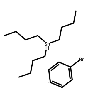 Brc1cc[c]cc1.CCC[CH2][SnH]([CH2]CCC)[CH2]CCC